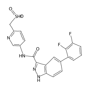 O=C(Nc1ccc(C[SH](=O)=O)nc1)c1n[nH]c2ccc(-c3cccc(F)c3F)cc12